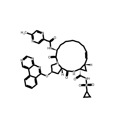 Cc1cnc(C(=O)N[C@H]2CCCCCC=C[C@@H]3C[C@@]3(C(=O)NS(=O)(=O)C3CC3)NC(=O)[C@@H]3C[C@@H](Oc4nc5ncncc5c5ccccc45)CN3C2=O)cn1